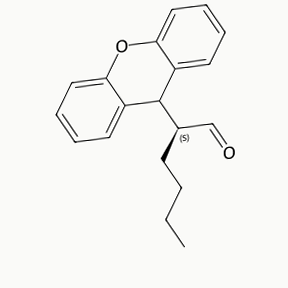 CCCC[C@H](C=O)C1c2ccccc2Oc2ccccc21